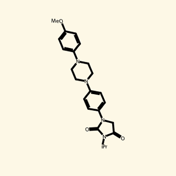 COc1ccc(N2CCN(c3ccc(N4CC(=O)N(C(C)C)C4=O)cc3)CC2)cc1